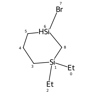 CC[Si]1(CC)CCC[SiH](Br)C1